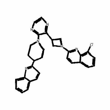 Clc1cccc2ccc(N3CC(c4nccnc4N4CCC(c5ccc6ccccc6n5)CC4)C3)nc12